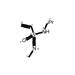 C=CS(=O)(=NC)NC(C)C